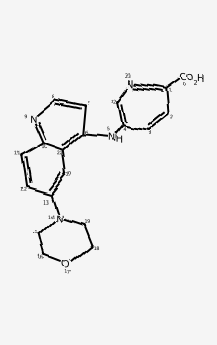 O=C(O)c1ccc(Nc2ccnc3ccc(N4CCOCC4)cc23)cn1